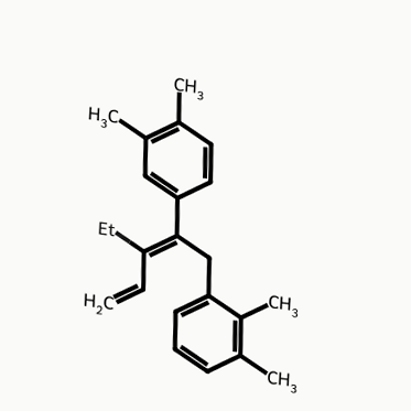 C=C/C(CC)=C(\Cc1cccc(C)c1C)c1ccc(C)c(C)c1